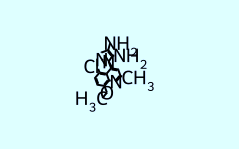 COc1ccc(Cl)c2c(-n3ncc(N)c3N)cc(C)nc12